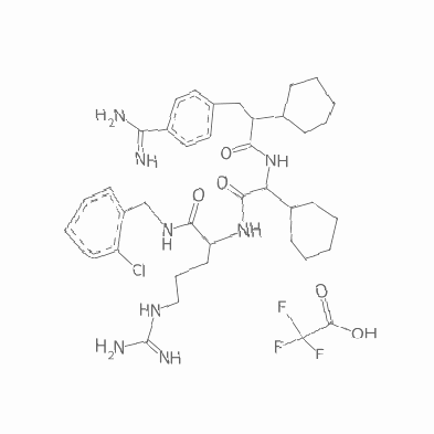 N=C(N)NCCCC(NC(=O)C(NC(=O)C(Cc1ccc(C(=N)N)cc1)C1CCCCC1)C1CCCCC1)C(=O)NCc1ccccc1Cl.O=C(O)C(F)(F)F